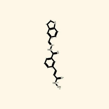 O=C(/C=C/c1cccc(C(=O)N/N=C/c2ccc3c(c2)CCO3)c1)NO